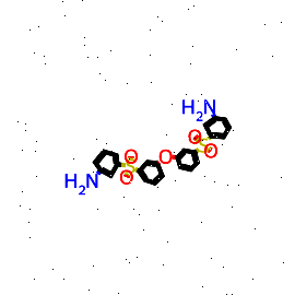 Nc1cccc(S(=O)(=O)c2cccc(Oc3cccc(S(=O)(=O)c4cccc(N)c4)c3)c2)c1